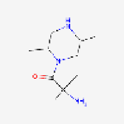 CC1CN(C(=O)C(C)(C)N)C(C)CN1